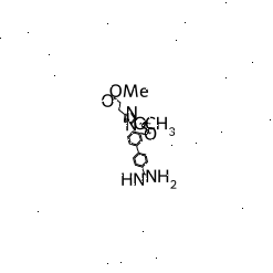 COC(=O)CCc1cn(-c2ccc(-c3ccc(C(=N)N)cc3)cc2S(C)(=O)=O)cn1